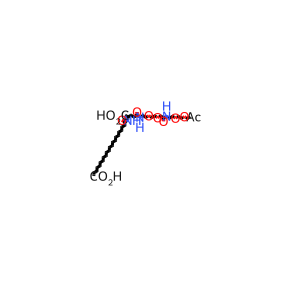 CC(=O)COCCOCCNC(=O)COCCOCCNC(=O)CCC(NC(=O)CCCCCCCCCCCCCCCCCCCCC(=O)O)C(=O)O